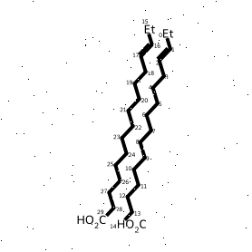 CCC=CCCCCCCCCCCCC(=O)O.CCC=CCCCCCCCCCCCC(=O)O